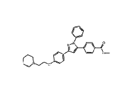 COC(=O)c1ccc(-c2cc(-c3ccc(OCCN4CCCCC4)cc3)nn2-c2ccccc2)cc1